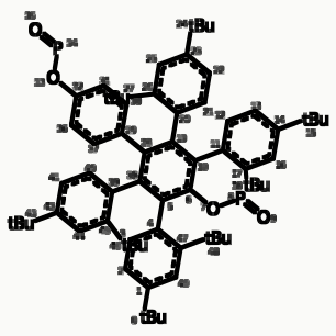 CC(C)(C)c1ccc(-c2c(OP=O)c(-c3ccc(C(C)(C)C)cc3C(C)(C)C)c(-c3ccc(C(C)(C)C)cc3C(C)(C)C)c(-c3ccc(OP=O)cc3)c2-c2ccc(C(C)(C)C)cc2C(C)(C)C)c(C(C)(C)C)c1